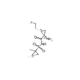 C[C@H]1CC1(C)S(=O)(=O)NC(=O)[C@@]1(N)C[C@H]1CCF